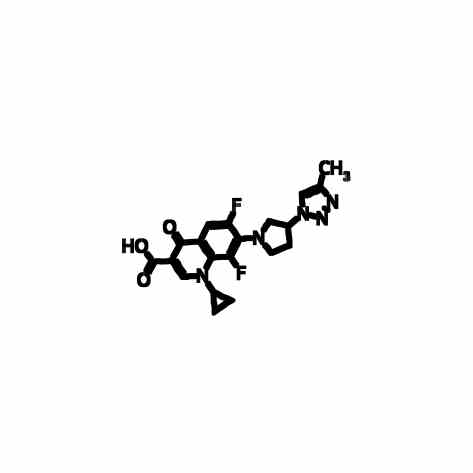 Cc1cn(C2CCN(c3c(F)cc4c(=O)c(C(=O)O)cn(C5CC5)c4c3F)C2)nn1